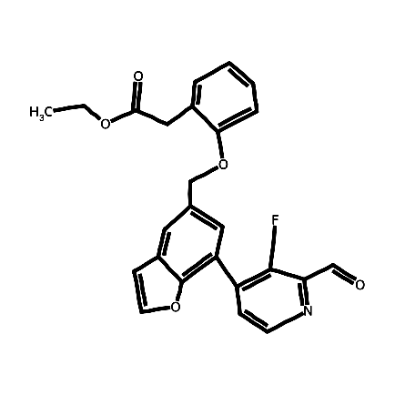 CCOC(=O)Cc1ccccc1OCc1cc(-c2ccnc(C=O)c2F)c2occc2c1